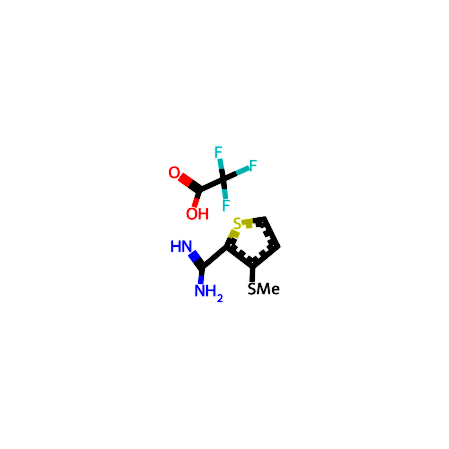 CSc1ccsc1C(=N)N.O=C(O)C(F)(F)F